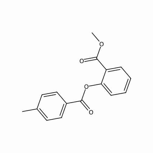 COC(=O)c1ccccc1OC(=O)c1ccc(C)cc1